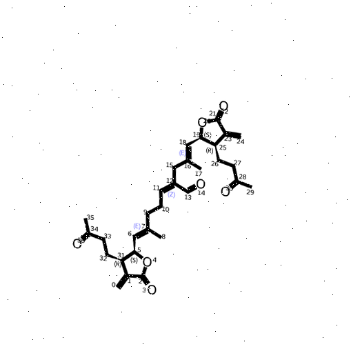 C=C1C(=O)O[C@H](/C=C(\C)CC/C=C(\C=O)C/C(C)=C/[C@H]2OC(=O)C(=C)[C@H]2CCC(C)=O)[C@@H]1CCC(C)=O